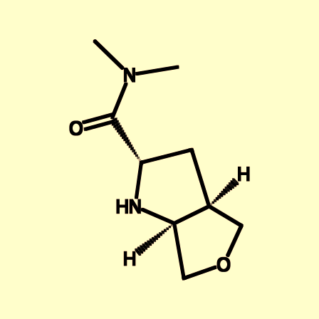 CN(C)C(=O)[C@@H]1C[C@H]2COC[C@H]2N1